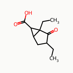 CCC1CC2C(C(=O)O)C2(CC)C1=O